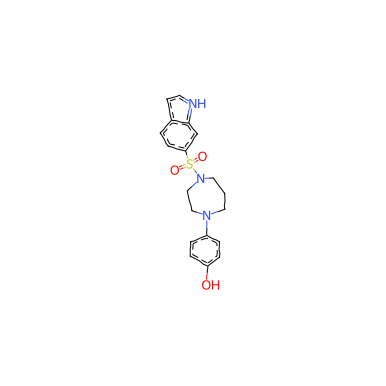 O=S(=O)(c1ccc2cc[nH]c2c1)N1CCCN(c2ccc(O)cc2)CC1